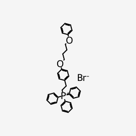 [Br-].c1ccc(OCCCCOc2ccc(CC[P+](c3ccccc3)(c3ccccc3)c3ccccc3)cc2)cc1